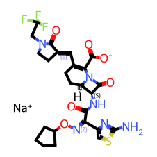 Nc1nc(/C(=N/OC2CCCC2)C(=O)N[C@@H]2C(=O)N3C(C(=O)[O-])=C(/C=C4\CCN(CC(F)(F)F)C4=O)CC[C@H]23)cs1.[Na+]